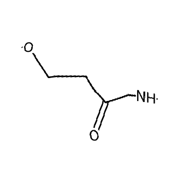 [NH]C(=O)CC[O]